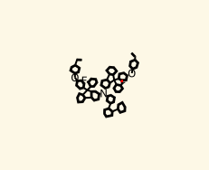 C=Cc1ccc(Oc2ccc(C3(c4ccccc4F)c4ccccc4-c4ccc(N(c5cccc(-c6ccccc6-c6ccccc6)c5)c5ccc6c(c5)C(c5ccc(Oc7ccc(C=C)cc7)cc5)(c5ccccc5F)c5ccccc5-6)cc43)cc2)cc1